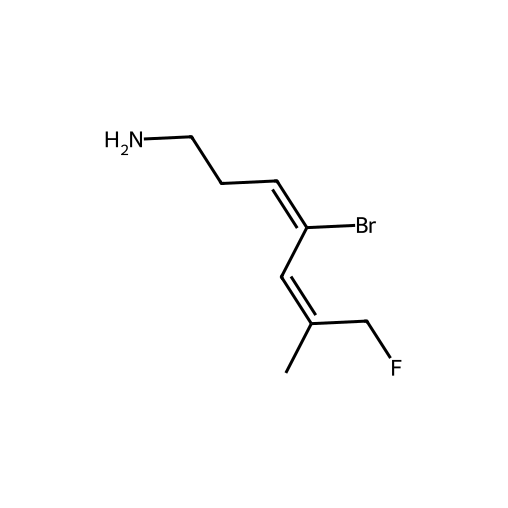 C/C(=C/C(Br)=C\CCN)CF